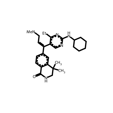 CCc1nc(NC2CCCCC2)ncc1/C(=C\CNC)c1ccc2c(c1)C(C)(C)CNC2=O